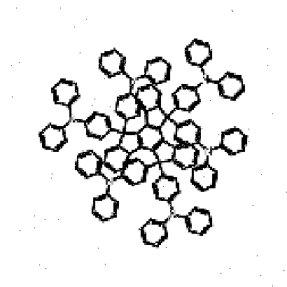 c1ccc(N(c2ccccc2)c2ccc(C3(c4ccc(N(c5ccccc5)c5ccccc5)cc4)c4ccccc4-c4c3c3c(c5c4C(c4ccc(N(c6ccccc6)c6ccccc6)cc4)(c4ccc(N(c6ccccc6)c6ccccc6)cc4)c4ccccc4-5)C(c4ccc(N(c5ccccc5)c5ccccc5)cc4)(c4ccc(N(c5ccccc5)c5ccccc5)cc4)c4ccccc4-3)cc2)cc1